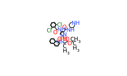 CC(C)OC(=O)[C@H](C)NP(=O)(Oc1cccc2ccccc12)n1cc(NC(=O)c2c(Cl)cccc2Cl)c(C(=O)NC2CCNCC2)n1